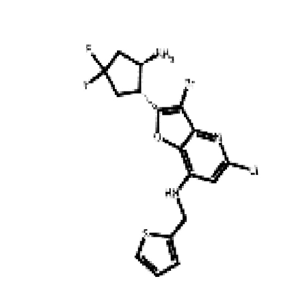 N[C@@H]1CC(F)(F)C[C@H]1c1oc2c(NCc3cccs3)cc(Cl)nc2c1Br